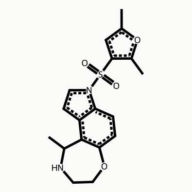 Cc1cc(S(=O)(=O)n2ccc3c4c(ccc32)OCCNC4C)c(C)o1